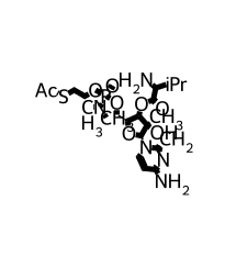 C=C1N=C(N)C=CN1[C@@H]1O[C@H](COP(=O)(OCCSC(C)=O)N(C)C)C(OC(=O)C(N)C(C)C)[C@]1(C)O